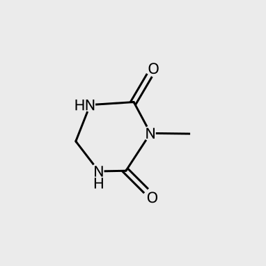 CN1C(=O)NCNC1=O